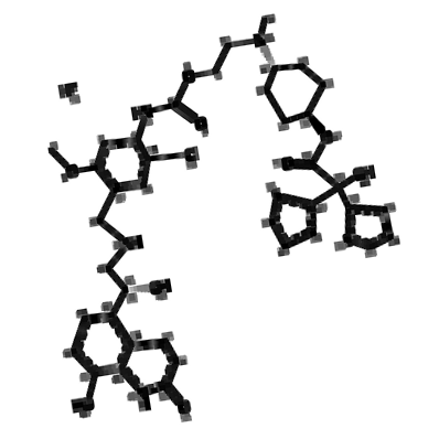 COc1cc(NC(=O)OCCN(C)[C@H]2CC[C@H](OC(=O)C(O)(c3cccs3)c3cccs3)CC2)c(Cl)cc1CNC[C@H](O)c1ccc(O)c2[nH]c(=O)ccc12.F